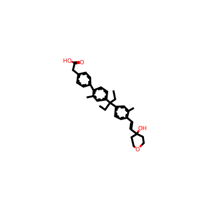 CCC(CC)(c1ccc(C=CC2(O)CCOCC2)c(C)c1)c1ccc(-c2ccc(CC(=O)O)cc2)c(C)c1